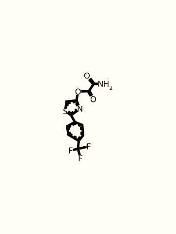 NC(=O)C(=O)Oc1csc(-c2ccc(C(F)(F)F)cc2)n1